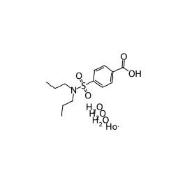 CCCN(CCC)S(=O)(=O)c1ccc(C(=O)O)cc1.O.O.O.[Ho]